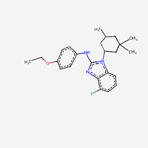 CCOc1ccc(Nc2nc3c(F)cccc3n2C2CC(C)CC(C)(C)C2)cc1